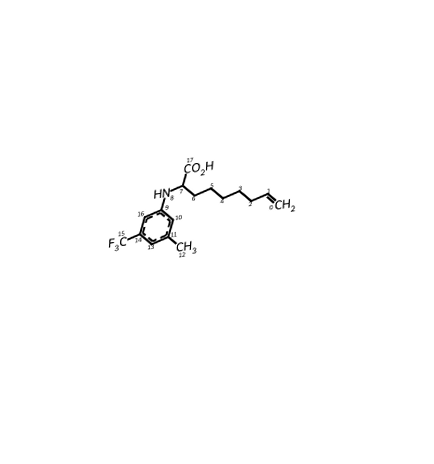 C=CCCCCCC(Nc1cc(C)cc(C(F)(F)F)c1)C(=O)O